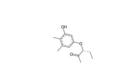 CC[C@@H](Oc1cc(C)c(C)c(O)c1)C(C)=O